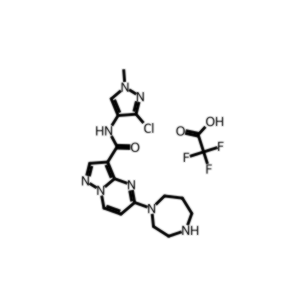 Cn1cc(NC(=O)c2cnn3ccc(N4CCCNCC4)nc23)c(Cl)n1.O=C(O)C(F)(F)F